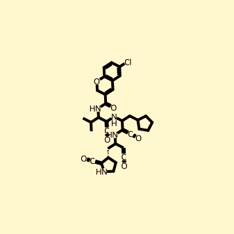 CC(C)C(NC(=O)C1=Cc2cc(Cl)ccc2OC1)C(=C=O)NC(CC1CCCC1)C(=C=O)NC(C=C=O)C[C@@H]1CCNC1=C=O